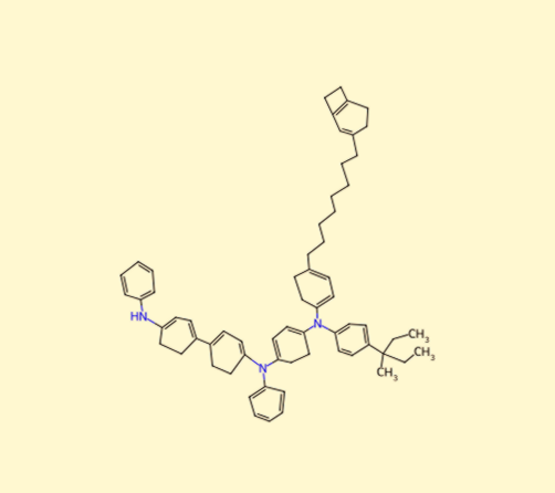 CCC(C)(CC)c1ccc(N(C2=CC=C(CCCCCCCCC3=CC4=C(CC3)CC4)CC2)C2=CC=C(N(C3=CC=C(C4=CC=C(Nc5ccccc5)CC4)CC3)c3ccccc3)CC2)cc1